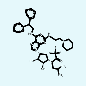 CC(C)CN(C(=O)C(F)(F)F)[C@H]1C[C@@H](n2cnc3c(NCC(c4ccccc4)c4ccccc4)nc(NCCN4CCCCC4)nc32)[C@H](O)[C@@H]1O